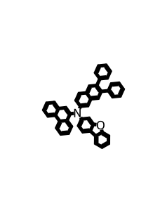 c1ccc(-c2cc3ccc(N(c4ccc5c(c4)oc4ccccc45)c4cc5ccccc5c5ccccc45)cc3cc2-c2ccccc2)cc1